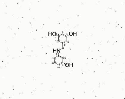 Oc1cc(O)cc(CNc2cccc(O)c2)c1